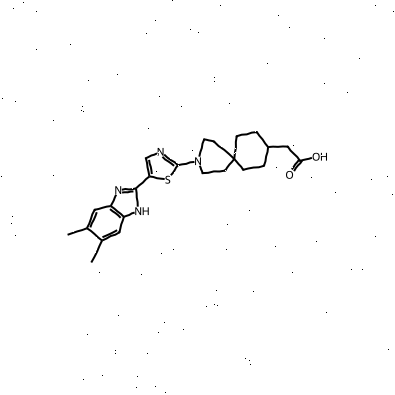 Cc1cc2nc(-c3cnc(N4CCC5(CCC(CC(=O)O)CC5)CC4)s3)[nH]c2cc1C